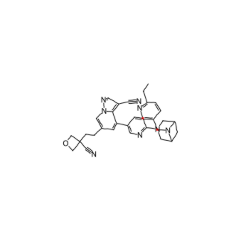 CCc1ccc(CN2C3CC2CN(c2ccc(-c4cc(CCC5(C#N)COC5)cn5ncc(C#N)c45)cn2)C3)cn1